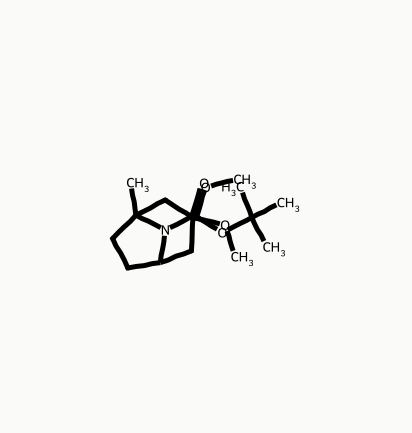 COC1(OC)CC2CCC(C)(C1)N2C(=O)OC(C)(C)C